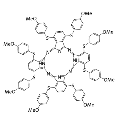 COc1ccc(Sc2ccc(Sc3ccc(OC)cc3)c3c2-c2nc-3nc3[nH]c(nc4nc(nc5[nH]c(n2)c2c(Sc6ccc(OC)cc6)ccc(Sc6ccc(OC)cc6)c52)-c2c(Sc5ccc(OC)cc5)ccc(Sc5ccc(OC)cc5)c2-4)c2c(Sc4ccc(OC)cc4)ccc(Sc4ccc(OC)cc4)c32)cc1